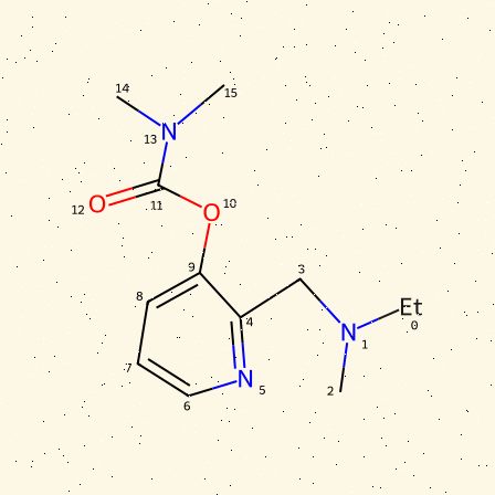 CCN(C)Cc1ncccc1OC(=O)N(C)C